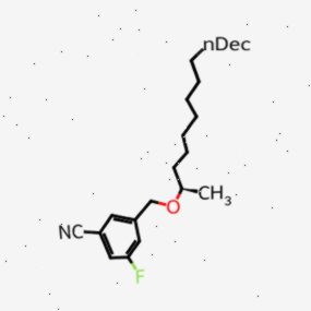 CCCCCCCCCCCCCCCCC[C@@H](C)OCc1cc(F)cc(C#N)c1